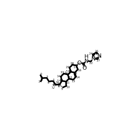 CC(C)CCC[C@@H](C)[C@H]1CCC2C3CC=C4CC(OC(=O)NCn5ccnc5)CC[C@]4(C)C3CC[C@@]21C